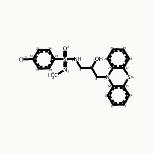 CN=S(=O)(NCC(O)CN1c2ccccc2Sc2ccccc21)c1ccc(Cl)cc1